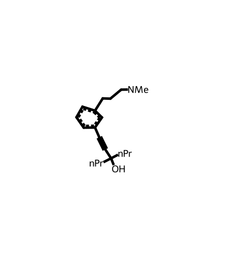 CCCC(O)(C#Cc1cccc(CCCNC)c1)CCC